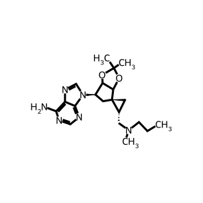 CCCN(C)C[C@H]1C[C@]12C[C@@H](n1cnc3c(N)ncnc31)C1OC(C)(C)OC12